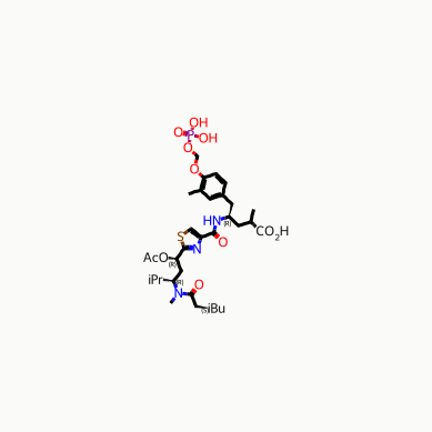 CC[C@H](C)CC(=O)N(C)[C@H](C[C@@H](OC(C)=O)c1nc(C(=O)N[C@@H](Cc2ccc(OCOP(=O)(O)O)c(C)c2)CC(C)C(=O)O)cs1)C(C)C